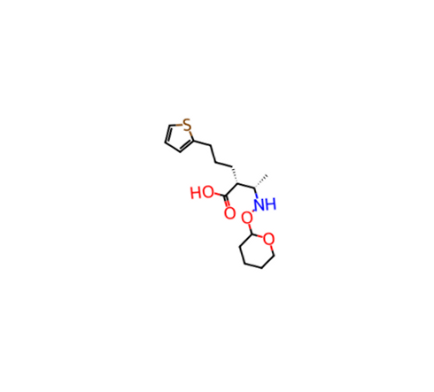 C[C@H](NOC1CCCCO1)[C@@H](CCCc1cccs1)C(=O)O